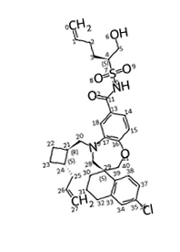 C=CCC[C@@H](CO)S(=O)(=O)NC(=O)c1ccc2c(c1)N(C[C@@H]1CC[C@H]1CC=C)C[C@@]1(CCCc3cc(Cl)ccc31)CO2